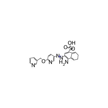 Nc1c(/N=N/c2ccc(OCc3cccnc3)nc2)cc(S(=O)(=O)O)c2c1=CCCC=2